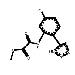 COC(=O)C(=O)Nc1cc(Cl)ccc1-c1nnn[nH]1